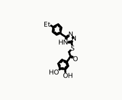 CCc1ccc(-c2nnc(SCC(=O)c3ccc(O)c(O)c3)[nH]2)cc1